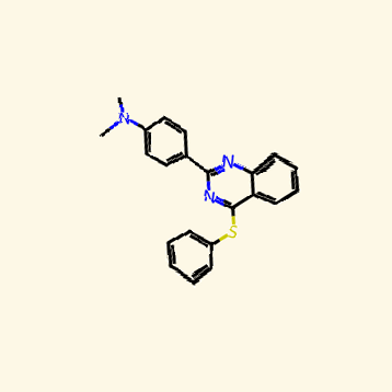 CN(C)c1ccc(-c2nc(Sc3ccccc3)c3ccccc3n2)cc1